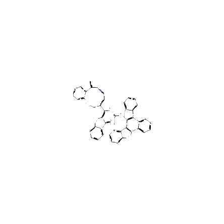 C=C1/C=C\C=C(\c2nc(-n3c4ccccc4c4c5ccccc5c5sc6ccccc6c5c43)nc3c2sc2ccccc23)CSc2ccccc21